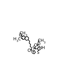 CCOC(=O)[C@H]1NCC(=S)C1C(=O)[C@@H]1CCCN1C(=O)CCCCCC1CCc2cc(OC)c(C)cc2C1